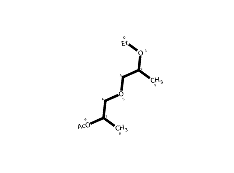 CCOC(C)COCC(C)OC(C)=O